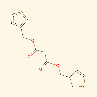 O=C(CC(=O)OCC1C=CSC1)OCc1ccsc1